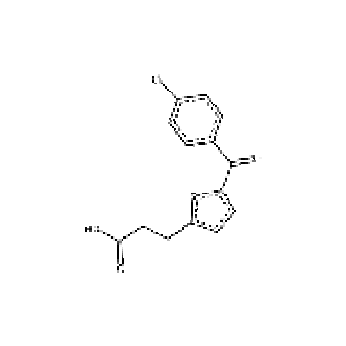 O=C(O)CCc1ccc(C(=O)c2ccc(Cl)cc2)s1